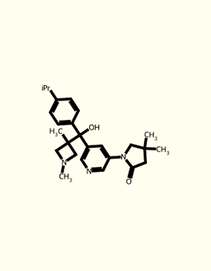 CC(C)c1ccc(C(O)(c2cncc(N3CC(C)(C)CC3=O)c2)C2(C)CN(C)C2)cc1